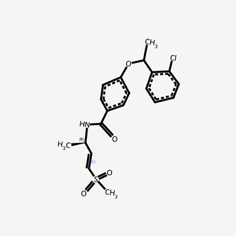 CC(Oc1ccc(C(=O)N[C@H](C)/C=C/S(C)(=O)=O)cc1)c1ccccc1Cl